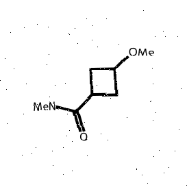 CNC(=O)C1CC(OC)C1